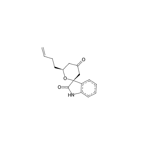 C=CCC[C@H]1CC(=O)C[C@]2(O1)C(=O)Nc1ccccc12